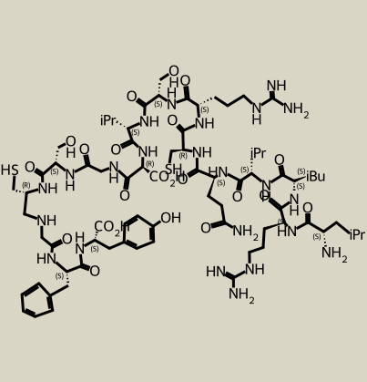 CC[C@H](C)[C@H](NC(=O)[C@H](CCCNC(=N)N)NC(=O)[C@@H](N)CC(C)C)C(=O)N[C@H](C(=O)N[C@@H](CCC(N)=O)C(=O)N[C@@H](CS)C(=O)N[C@@H](CCCNC(=N)N)C(=O)N[C@@H](CO)C(=O)N[C@H](C(=O)N[C@@H](C(=O)O)C(=O)NCC(=O)N[C@@H](CO)C(=O)N[C@@H](CS)CNCC(=O)N[C@@H](Cc1ccccc1)C(=O)N[C@@H](Cc1ccc(O)cc1)C(=O)O)C(C)C)C(C)C